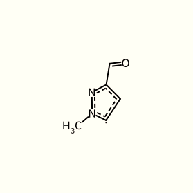 Cn1[c]cc(C=O)n1